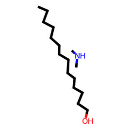 CCCCCCCCCCCCCCO.CNC